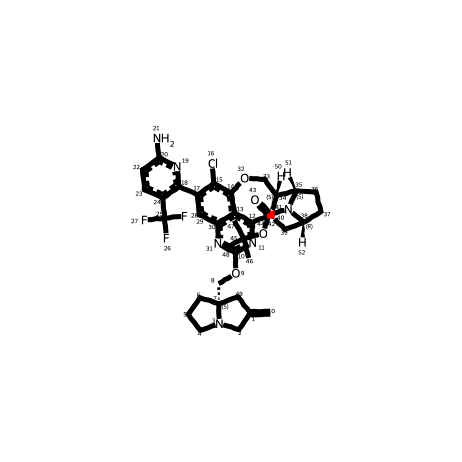 C=C1CN2CCC[C@@]2(COc2nc3c4c(c(Cl)c(-c5nc(N)ccc5C(F)(F)F)cc4n2)OC[C@@H]2[C@@H]4CC[C@H](CN32)N4C(=O)OC(C)(C)C)C1